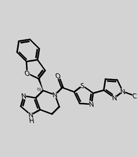 Cn1ccc(-c2ncc(C(=O)N3CCc4[nH]cnc4[C@H]3c3cc4ccccc4o3)s2)n1